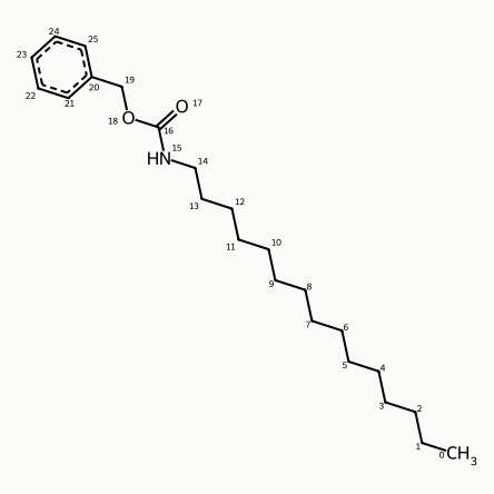 CCCCCCCCCCCCCCCNC(=O)OCc1ccccc1